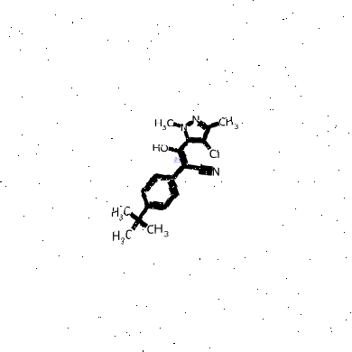 Cc1nn(C)c(/C(O)=C(\C#N)c2ccc(C(C)(C)C)cc2)c1Cl